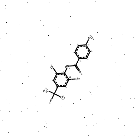 CC(F)(c1cc(Cl)c(NC(=O)c2ccc([N+](=O)[O-])cc2)c(Cl)c1)C(F)(F)F